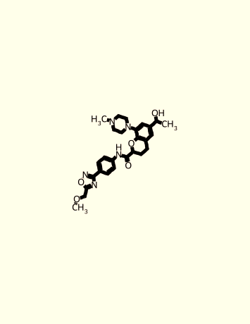 COCc1nc(-c2ccc(NC(=O)C3CCc4cc(C(C)O)cc(N5CCN(C)CC5)c4O3)cc2)no1